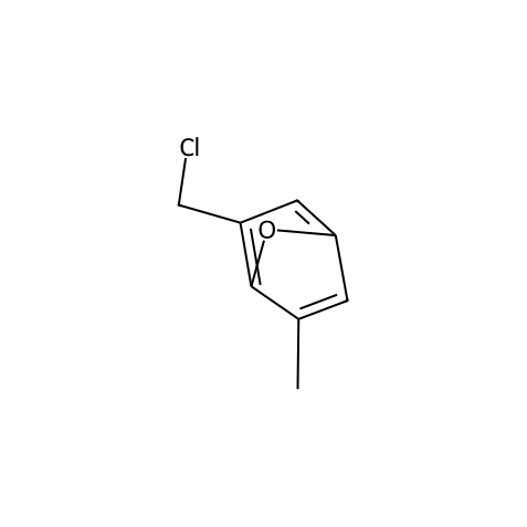 Cc1cc2cc(CCl)c1o2